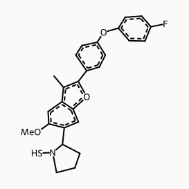 COc1cc2c(C)c(-c3ccc(Oc4ccc(F)cc4)cc3)oc2cc1C1CCCN1S